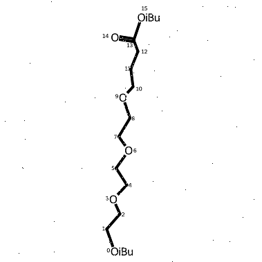 CC(C)COCCOCCOCCOCCCC(=O)OCC(C)C